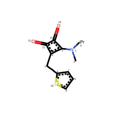 CC(C)N(C)c1c(Cc2cccs2)c(=O)c1=O